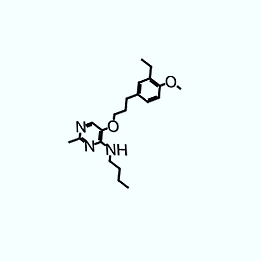 CCCCNc1nc(C)ncc1OCCCc1ccc(OC)c(CC)c1